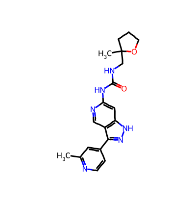 Cc1cc(-c2n[nH]c3cc(NC(=O)NCC4(C)CCCO4)ncc23)ccn1